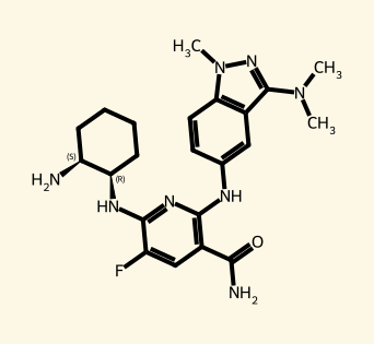 CN(C)c1nn(C)c2ccc(Nc3nc(N[C@@H]4CCCC[C@@H]4N)c(F)cc3C(N)=O)cc12